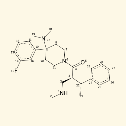 CNC[C@@H](C(=O)N1CCC(c2cccc(F)c2)(N(C)C)CC1)[C@@H](C)c1ccccc1